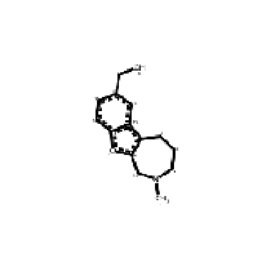 CN1CCCc2c(oc3ccc(CO)cc23)C1